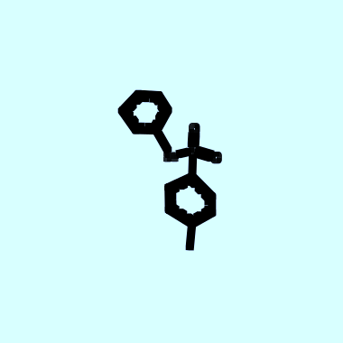 Cc1ccc(S(=O)(=O)[Se]c2ccccc2)cc1